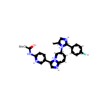 COC(=O)Nc1ccc(-c2cnc3ccc(-n4c(C)cnc4-c4ccc(F)cc4)cn23)cn1